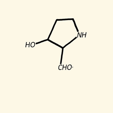 O=[C]C1NCCC1O